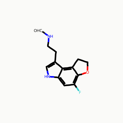 O=CNCCc1c[nH]c2cc(F)c3c(c12)CCO3